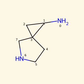 N[C]1CC12CCNC2